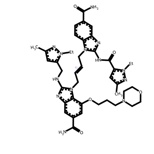 CCn1nc(C)cc1CNc1nc2cc(C(N)=O)cc(OCCCN3CCOCC3)c2n1C/C=C/Cn1c(NC(=O)c2cc(C)nn2CC)nc2cc(C(N)=O)ccc21